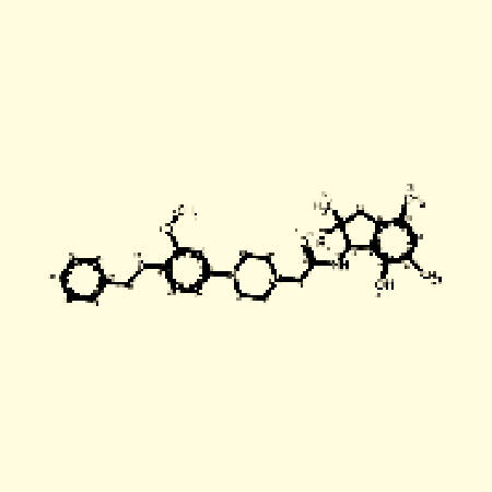 COc1cc(N2CCN(CC(=O)NC3c4c(O)c(C)cc(C)c4CC3(C)C)CC2)ccc1OCc1ccccc1